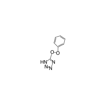 c1ccc(OOc2nnn[nH]2)cc1